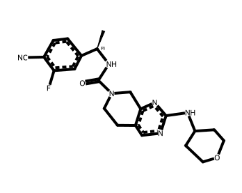 C[C@@H](NC(=O)N1CCc2cnc(NC3CCOCC3)nc2C1)c1ccc(C#N)c(F)c1